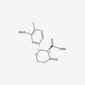 COC(=O)[C@H]1C(=O)CCO[C@@H]1c1ccc(C)c(OC)c1